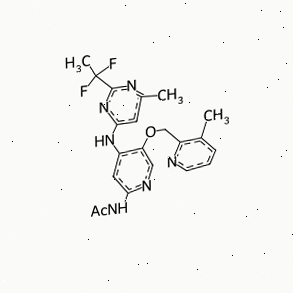 CC(=O)Nc1cc(Nc2cc(C)nc(C(C)(F)F)n2)c(OCc2ncccc2C)cn1